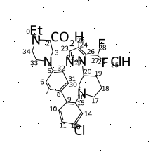 CCN1CCN(c2ccc(-c3ccc(Cl)cc3N3CCCC(n4ncc(C(=O)O)c4C(F)F)C3)cc2)CC1.Cl